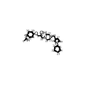 Cc1nc2cc(OCC(O)CN3CCN(Cc4ccn(-c5ccccc5)c4)CC3)ccc2s1